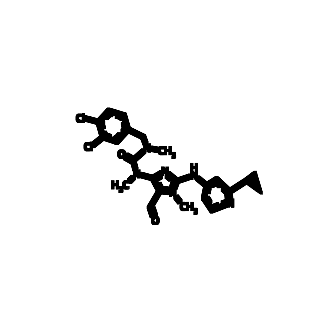 CN(Cc1ccc(Cl)c(Cl)c1)C(=O)N(C)c1nc(Nc2ccnc(C3CC3)c2)n(C)c1C=O